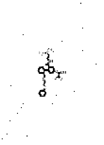 CN(C)CCNC(=O)c1ccccc1-c1ccccc1CSCCOc1ccccc1.O=C(O)C(=O)O